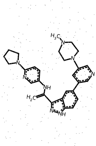 C=C(Nc1ccc(N2CCCC2)nc1)c1n[nH]c2ccc(-c3cncc(N4CCN(C)CC4)c3)cc12